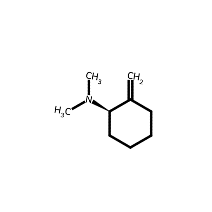 C=C1CCCC[C@H]1N(C)C